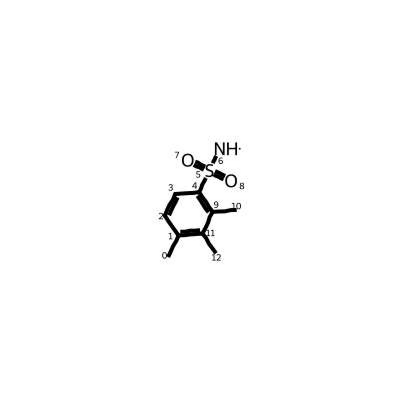 Cc1ccc(S([NH])(=O)=O)c(C)c1C